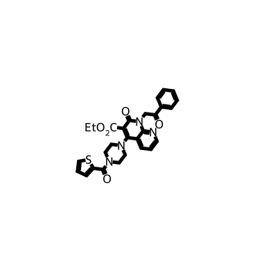 CCOC(=O)c1c(N2CCN(C(=O)c3cccs3)CC2)c2cccnc2n(CC(=O)c2ccccc2)c1=O